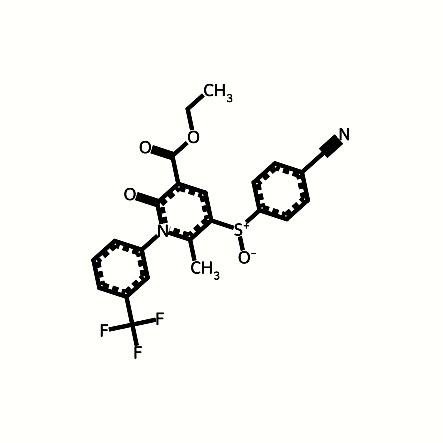 CCOC(=O)c1cc([S+]([O-])c2ccc(C#N)cc2)c(C)n(-c2cccc(C(F)(F)F)c2)c1=O